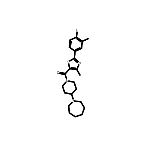 Cc1cc(-c2nc(C)c(C(=O)N3CCC(N4CCCCCC4)CC3)s2)ccc1F